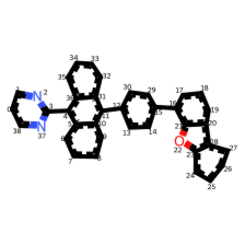 c1cnc(-c2c3ccccc3c(-c3ccc(-c4cccc5c4oc4ccccc45)cc3)c3ccccc23)nc1